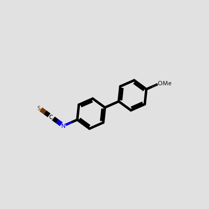 COc1ccc(-c2ccc(N=C=S)cc2)cc1